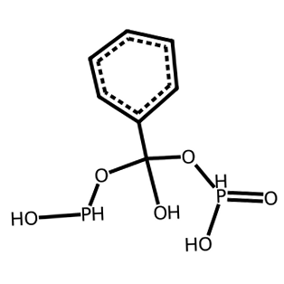 O=[PH](O)OC(O)(OPO)c1ccccc1